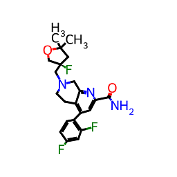 CC1(C)C[C@](F)(CN2CCc3c(-c4ccc(F)cc4F)cc(C(N)=O)nc3C2)CO1